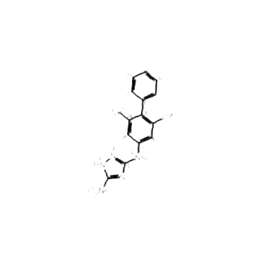 Nc1nc(Nc2cc(Cl)c(-c3ccccc3)c(Cl)c2)n[nH]1